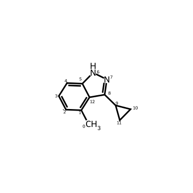 Cc1[c]ccc2[nH]nc(C3CC3)c12